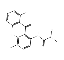 C[C@H](N)C(=O)Nc1ccc(Cl)c(Br)c1C(=O)c1c(F)cccc1F